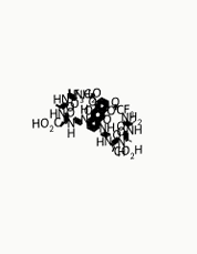 C[C@H](NC(=O)[C@H](C)NC(=O)[C@H](CC(=O)O)NCCNc1ccc(NCCN[C@@H](CC(=O)O)C(=O)N[C@@H](C)C(=O)N[C@@H](C)C(N)=O)c2c1C(=O)c1c(OC(=O)C(F)(F)F)ccc(OC(=O)C(F)(F)F)c1C2=O)C(N)=O